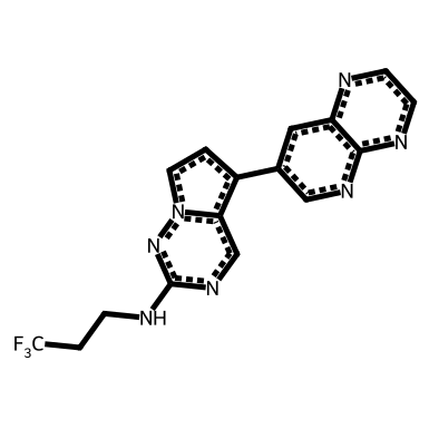 FC(F)(F)CCNc1ncc2c(-c3cnc4nccnc4c3)ccn2n1